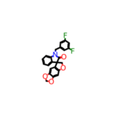 O=C1N(Cc2cc(F)cc(F)c2)c2ccccc2C12COc1cc3c(cc12)OCO3